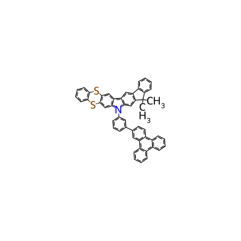 CC1(C)c2ccccc2-c2cc3c4cc5c(cc4n(-c4cccc(-c6ccc7c8ccccc8c8ccccc8c7c6)c4)c3cc21)Sc1ccccc1S5